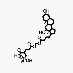 C[C@H](CCC(=O)OCOC(=O)CCC(CP(=O)(O)O)C(=O)O)C1CCC2C3CCC4C[C@H](O)CC[C@]4(C)C3C[C@H](O)[C@@]21C